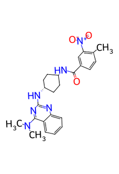 Cc1ccc(C(=O)N[C@H]2CC[C@@H](Nc3nc(N(C)C)c4ccccc4n3)CC2)cc1[N+](=O)[O-]